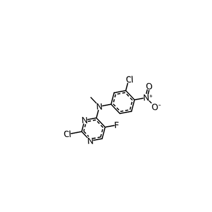 CN(c1ccc([N+](=O)[O-])c(Cl)c1)c1nc(Cl)ncc1F